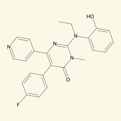 CCN(c1ccccc1O)c1nc(-c2ccncc2)c(-c2ccc(F)cc2)c(=O)n1C